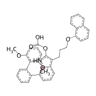 COc1cccc(OC)c1-c1ccccc1-c1cccc2c(CCCOc3cccc4ccccc34)c(OC(=O)O)[nH]c12